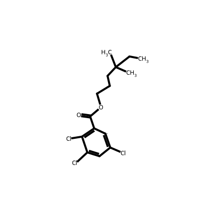 CCC(C)(C)CCCOC(=O)c1[c]c(Cl)cc(Cl)c1Cl